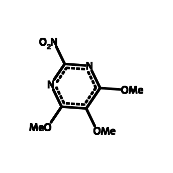 COc1nc([N+](=O)[O-])nc(OC)c1OC